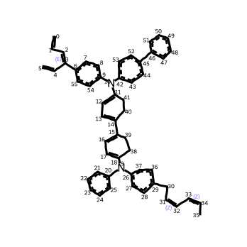 C=C/C=C(\C=C)c1ccc(N(C2=CC=C(C3=CC=C(N(c4ccccc4)c4ccc(C/C=C\C=C/C)cc4)CC3)CC2)c2ccc(-c3ccccc3)cc2)cc1